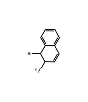 CC1C=Cc2ccccc2C1Br